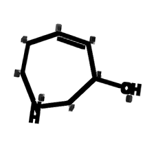 OC1C=CCCNC1